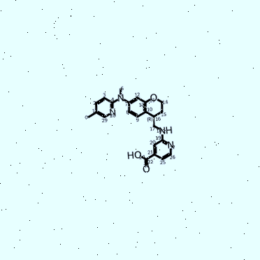 Cc1ccc(N(C)c2ccc3c(c2)OCC[C@H]3CNc2cc(C(=O)O)ccn2)nc1